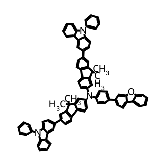 CC1(C)c2cc(-c3ccc4c(c3)c3ccccc3n4-c3ccccc3)ccc2-c2ccc(N(c3ccc(-c4ccc5c(c4)oc4ccccc45)cc3)c3ccc4c(c3)C(C)(C)c3cc(-c5ccc6c(c5)c5ccccc5n6-c5ccccc5)ccc3-4)cc21